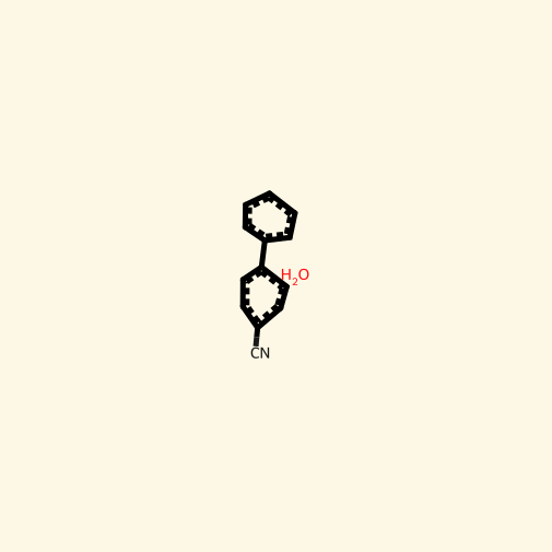 N#Cc1ccc(-c2ccccc2)cc1.O